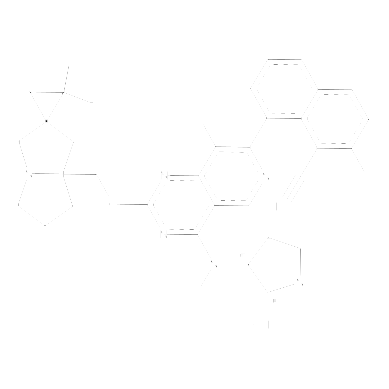 C#Cc1c(F)ccc2cccc(-c3ncc4c(N(C)[C@@H]5CCN[C@@H]5C)nc(OCC56CCCN5CC5(C6)CC5(F)F)nc4c3F)c12